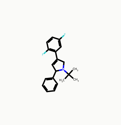 CC(C)(C)N1CC(c2cc(F)ccc2F)=CC1c1ccccc1